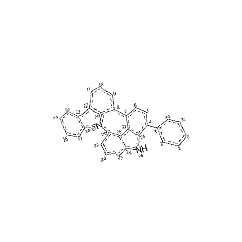 c1ccc(-c2ccc3c4cccc5c6ccccc6n(c6cccc7[nH]c2c3c76)c45)cc1